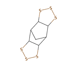 C1C2C3SSSC3C1C1SSSC21